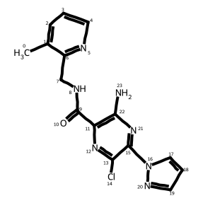 Cc1cccnc1CNC(=O)c1nc(Cl)c(-n2cccn2)nc1N